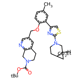 CCOC(=O)[C@@]12CCN(c3nc(-c4cc(C)ccc4OCc4cnc5c(c4)CCN(C(=O)OC(C)(C)C)C5)cs3)C[C@@H]1C2